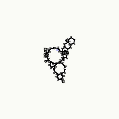 CCO[C@@]1(CN2CCN3CCCC[C@@H]3C2)/C=C/CC[C@@H](CC)S(=O)(=O)NC(=O)c2ccc3c(c2)N(CCCCc2cc(Cl)ccc2CO3)C[C@@H]2CC[C@H]21